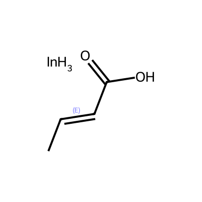 C/C=C/C(=O)O.[InH3]